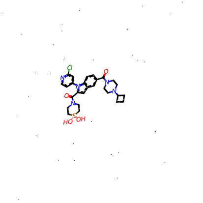 O=C(c1ccc2c(c1)cc(C(=O)N1CCS(O)(O)CC1)n2-c1ccnc(Cl)c1)N1CCN(C2CCC2)CC1